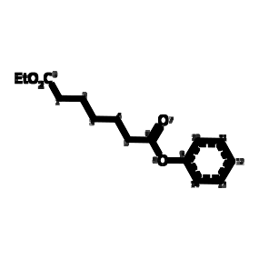 CCOC(=O)CCCCCC(=O)Oc1ccccc1